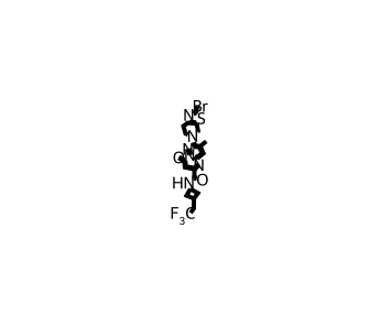 Cc1cc2nc(C(=O)NC3CC(CC(F)(F)F)C3)cc(=O)n2nc1N1CCc2nc(Br)sc2C1